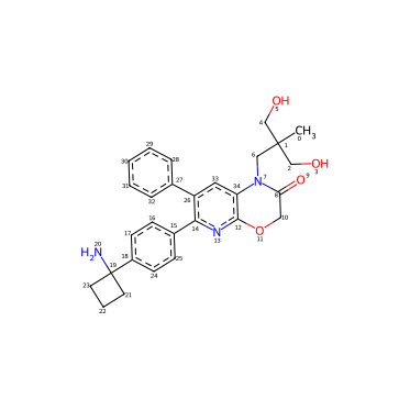 CC(CO)(CO)CN1C(=O)COc2nc(-c3ccc(C4(N)CCC4)cc3)c(-c3ccccc3)cc21